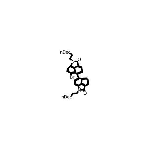 CCCCCCCCCCCCN1C(=O)c2cccc3c(-c4ccc5c6c(ccc(Br)c46)N(CCCCCCCCCCCC)C5=O)ccc1c23